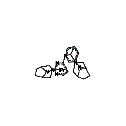 CC(C)N1CC2CCC(C1)N2c1nccc(CC(C)N2CC3CCC(C2)N3c2cccnc2)n1